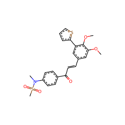 COc1cc(C=CC(=O)c2ccc(N(C)S(C)(=O)=O)cc2)cc(-c2cccs2)c1OC